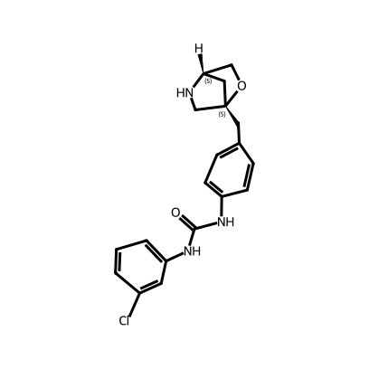 O=C(Nc1ccc(C[C@]23CN[C@H](CO2)C3)cc1)Nc1cccc(Cl)c1